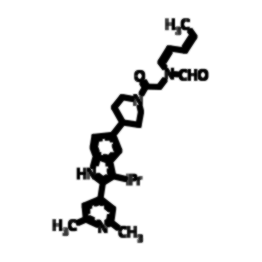 C/C=C\C=C/N(C=O)CC(=O)N1CCC(c2ccc3[nH]c(-c4cc(C)nc(C)c4)c(C(C)C)c3c2)CC1